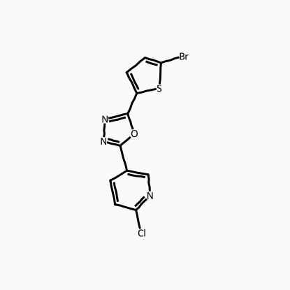 Clc1ccc(-c2nnc(-c3ccc(Br)s3)o2)cn1